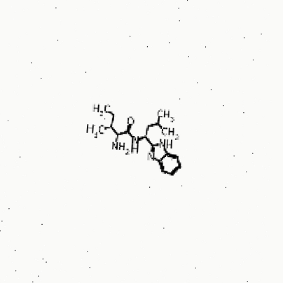 CC[C@H](C)[C@H](N)C(=O)N[C@@H](CC(C)C)c1nc2ccccc2[nH]1